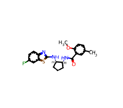 COc1ccc(C)cc1C(=O)N[C@@H]1CCC[C@@H]1Nc1nc2ccc(F)cc2s1